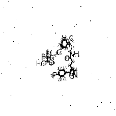 CCN(CCNC(=O)CCc1cnoc1-c1ccc(F)cc1)c1cccc(C)c1.O=C(O)C(F)(F)F